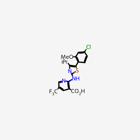 COc1cc(Cl)ccc1-c1sc(Nc2ncc(C(F)(F)F)cc2C(=O)O)nc1C(C)C